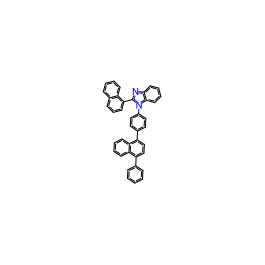 c1ccc(-c2ccc(-c3ccc(-n4c(-c5cccc6ccccc56)nc5ccccc54)cc3)c3ccccc23)cc1